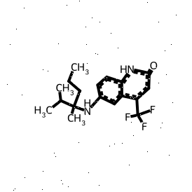 CCCC(C)(Nc1ccc2[nH]c(=O)cc(C(F)(F)F)c2c1)C(C)C